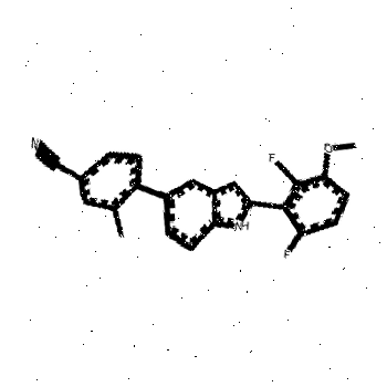 COc1ccc(F)c(-c2cc3cc(-c4ccc(C#N)cc4C)ccc3[nH]2)c1F